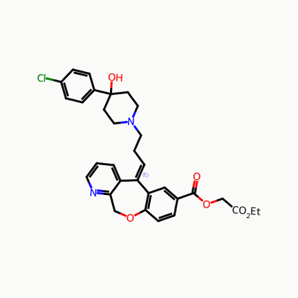 CCOC(=O)COC(=O)c1ccc2c(c1)/C(=C/CCN1CCC(O)(c3ccc(Cl)cc3)CC1)c1cccnc1CO2